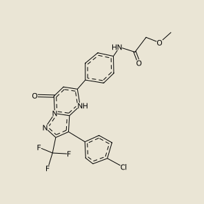 COCC(=O)Nc1ccc(-c2cc(=O)n3nc(C(F)(F)F)c(-c4ccc(Cl)cc4)c3[nH]2)cc1